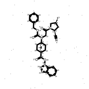 N#C[C@@H]1C[C@H](F)CN1C(=O)CN(C(=O)OCc1ccccc1)C12CCC(C(=O)On3nnc4ccccc43)(CC1)CC2